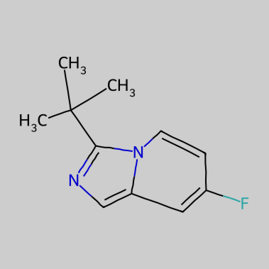 CC(C)(C)c1ncc2cc(F)ccn12